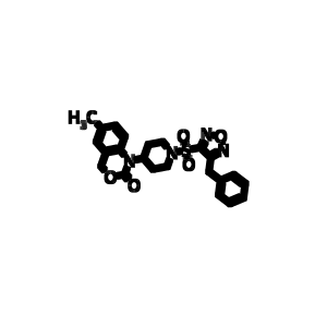 Cc1ccc2c(c1)COC(=O)N2C1CCN(S(=O)(=O)c2nonc2Cc2ccccc2)CC1